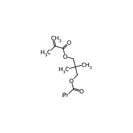 C=C(C)C(=O)OCC(C)(C)COC(=O)C(C)C